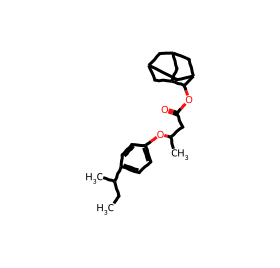 CCC(C)c1ccc(OC(C)CC(=O)OC2C3CC4CC(C3)CC2C4)cc1